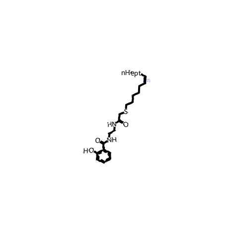 CCCCCCC/C=C\CCCCCSCC(=O)NCCNC(=O)c1ccccc1O